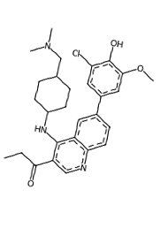 CCC(=O)c1cnc2ccc(-c3cc(Cl)c(O)c(OC)c3)cc2c1NC1CCC(CN(C)C)CC1